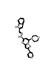 C(=N\Nc1cc(N2CCOCC2)n2nc(-c3ccncc3)cc2n1)/c1cc2ccccc2[nH]1